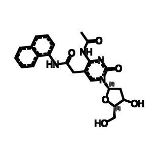 CC(=O)Nc1nc(=O)n([C@H]2CC(O)[C@@H](CO)O2)cc1CC(=O)Nc1cccc2ccccc12